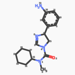 CN(C(=O)N1C=NC(c2cccc(N)c2)C1)C1CCCCC1